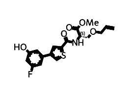 C=CCOC[C@H](NC(=O)c1cc(-c2cc(O)cc(F)c2)cs1)C(=O)OC